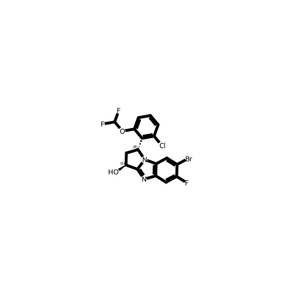 O[C@H]1C[C@H](c2c(Cl)cccc2OC(F)F)n2c1nc1cc(F)c(Br)cc12